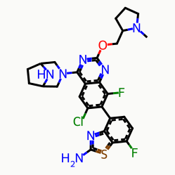 CN1CCCC1COc1nc(N2CC3CCC(C2)N3)c2cc(Cl)c(-c3ccc(F)c4sc(N)nc34)c(F)c2n1